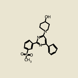 CS(=O)(=O)c1cccc(-c2nc(-c3ccccc3)cc(N3CCC(O)CC3)n2)c1